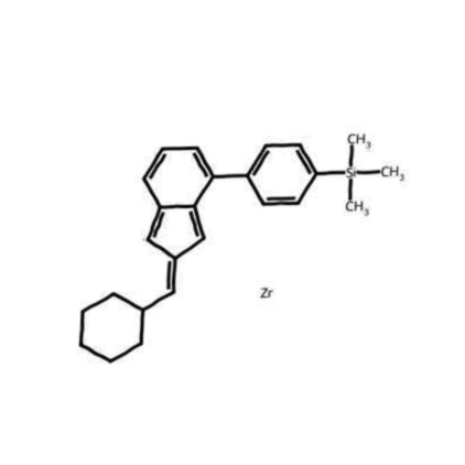 C[Si](C)(C)c1ccc(-c2cccc3c2=CC(=CC2CCCCC2)[C]=3)cc1.[Zr]